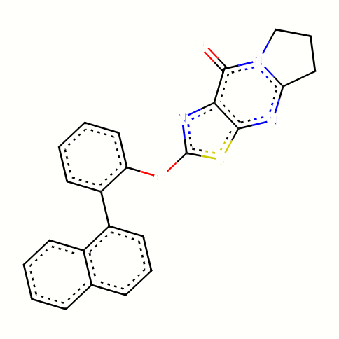 O=c1c2nc(Oc3ccccc3-c3cccc4ccccc34)sc2nc2n1CCC2